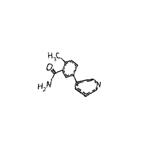 Cc1ccc(-c2cccnc2)cc1C(N)=O